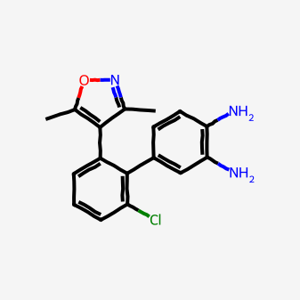 Cc1noc(C)c1-c1cccc(Cl)c1-c1ccc(N)c(N)c1